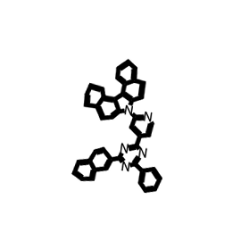 c1ccc(-c2nc(-c3ccnc(-n4c5ccc6ccccc6c5c5c6ccccc6ccc54)c3)nc(-c3ccc4ccccc4c3)n2)cc1